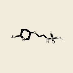 CC(C)(C)c1ccc(OCCNS(C)(=O)=O)cn1